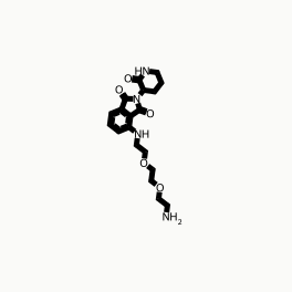 NCCOCCOCCNc1cccc2c1C(=O)N(C1CCCNC1=O)C2=O